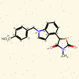 CN1C(=O)SC(c2cccc3c2ccn3Cc2ccc(C(=O)O)cc2)C1=O